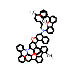 C=C(/C=C\C=C/CN(c1cc2oc3cc(N(c4ccccc4-c4ccccc4)c4cccc5c4oc4c(-c6ccccc6C)cccc45)c4ccccc4c3c2c2ccccc12)c1cccc2c1oc1c(-c3ccccc3C)cccc12)c1ccccc1